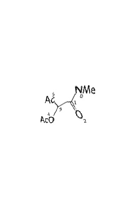 CNC(=O)C(OC(C)=O)C(C)=O